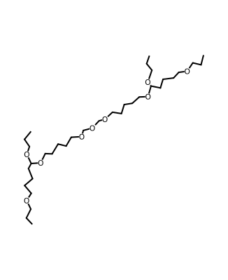 CCCOCCCCC(OCCC)OCCCCCOCOCOCCCCCOC(CCCCOCCC)OCCC